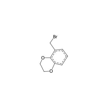 BrCc1cccc2c1OCCO2